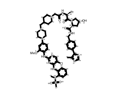 COc1cc(N2CCN(CC3CCN(CC(=O)N[C@H](C(=O)N4C[C@H](O)C[C@H]4C(=O)NCc4ccc(-c5scnc5C)cc4)C(C)C)CC3)CC2)ccc1Nc1ncc(Cl)c(Nc2ccccc2N(C)S(C)(=O)=O)n1